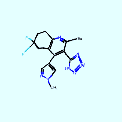 Cn1cc(-c2c3c(nc(C(C)(C)C)c2-c2nnn[nH]2)CCC(F)(F)C3)cn1